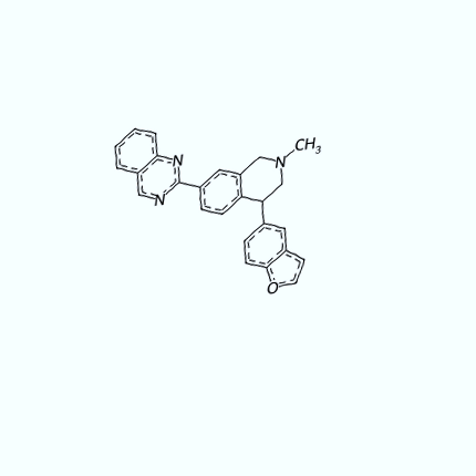 CN1Cc2cc(-c3ncc4ccccc4n3)ccc2C(c2ccc3occc3c2)C1